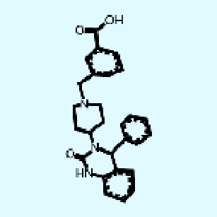 O=C(O)c1cccc(CN2CCC(N3C(=O)Nc4ccccc4C3c3ccccc3)CC2)c1